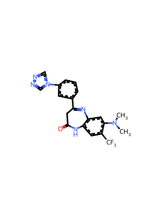 CN(C)c1cc2c(cc1C(F)(F)F)NC(=O)CC(c1cccc(-n3cnnc3)c1)=N2